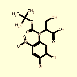 CC(C)(C)OC(=O)N(c1cc(Cl)c(Br)cc1[N+](=O)[O-])C(CO)C(=O)O